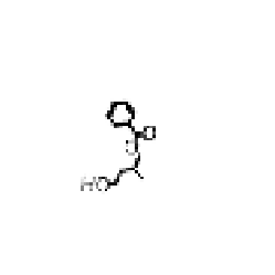 C[C@@H](CCO)COC(=O)c1ccccc1